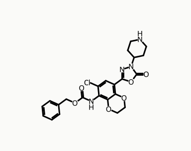 O=C(Nc1c(Cl)cc(-c2nn(C3CCNCC3)c(=O)o2)c2c1OCCO2)OCc1ccccc1